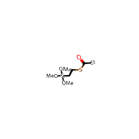 CCC(=O)SCC[Si](OC)(OC)OC